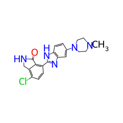 CN1CCN(c2ccc3[nH]c(-c4ccc(Cl)c5c4C(=O)NC5)nc3c2)CC1